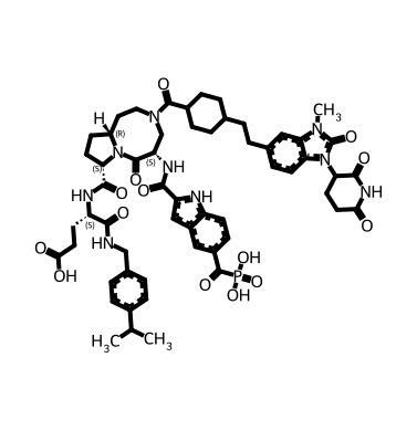 CC(C)c1ccc(CNC(=O)[C@H](CCC(=O)O)NC(=O)[C@@H]2CC[C@@H]3CCN(C(=O)C4CCC(CCc5ccc6c(c5)n(C)c(=O)n6C5CCC(=O)NC5=O)CC4)C[C@H](NC(=O)c4cc5cc(C(=O)P(=O)(O)O)ccc5[nH]4)C(=O)N32)cc1